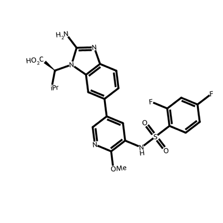 COc1ncc(-c2ccc3nc(N)n([C@H](C(=O)O)C(C)C)c3c2)cc1NS(=O)(=O)c1ccc(F)cc1F